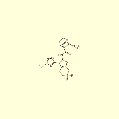 O=C(O)C1=C(C(=O)Nc2sc3c(c2-c2nc(C(F)(F)F)no2)CCC(F)(F)C3)C2CCC1CC2